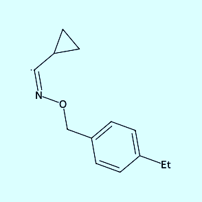 CCc1ccc(CO/N=[C]\C2CC2)cc1